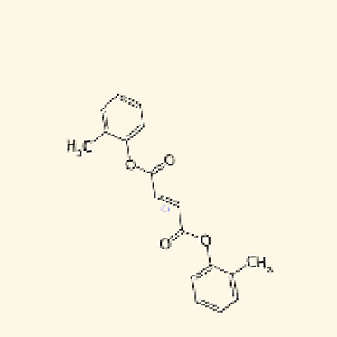 Cc1ccccc1OC(=O)/C=C/C(=O)Oc1ccccc1C